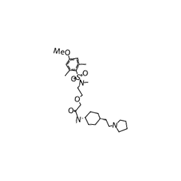 COc1cc(C)c(S(=O)(=O)N(C)CCOCC(=O)N(C)[C@H]2CC[C@H](CCN3CCCC3)CC2)c(C)c1